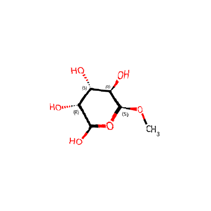 CO[C@H]1OC(O)[C@H](O)[C@H](O)[C@H]1O